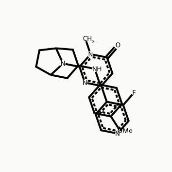 COc1ccc(NC2CC3CCC(C2)N3c2nc(-c3ccncc3F)cc(=O)n2C)cc1